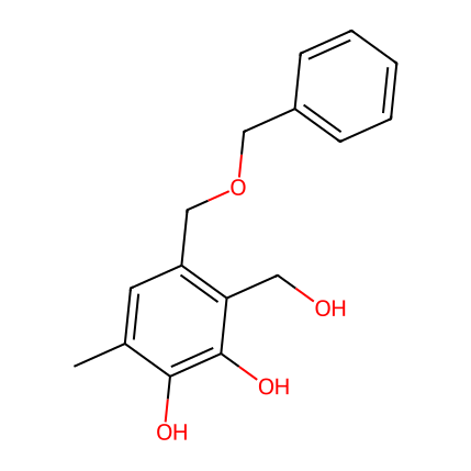 Cc1cc(COCc2ccccc2)c(CO)c(O)c1O